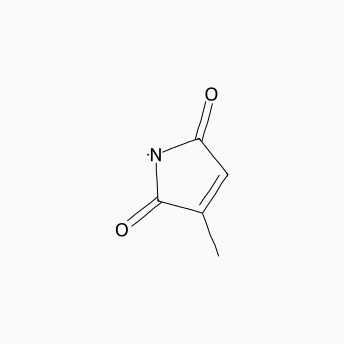 CC1=CC(=O)[N]C1=O